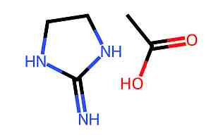 CC(=O)O.N=C1NCCN1